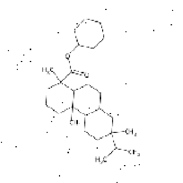 CC(C)C1(C)CCC2C(CCC3C(C)(C(=O)OC4CCCCC4)CCCC23C)C1